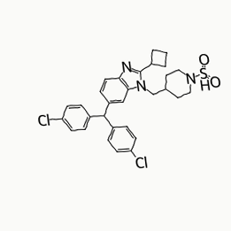 O=[SH](=O)N1CCC(Cn2c(C3CCC3)nc3ccc(C(c4ccc(Cl)cc4)c4ccc(Cl)cc4)cc32)CC1